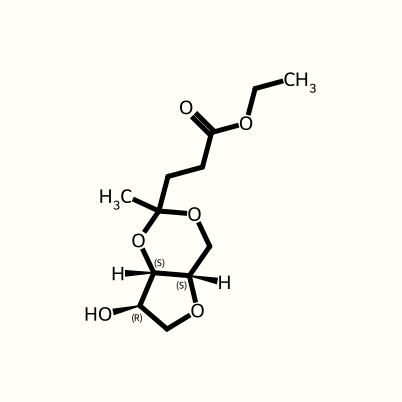 CCOC(=O)CCC1(C)OC[C@@H]2OC[C@@H](O)[C@@H]2O1